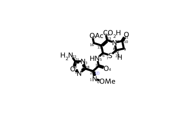 CO/N=C(\C(=O)NC1S[C@@H]2CC(=O)N2C(C(=O)O)=C1COC(C)=O)c1noc(N)n1